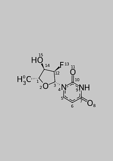 C[C@H]1O[C@@H](n2ccc(=O)[nH]c2=O)[C@H](F)[C@@H]1O